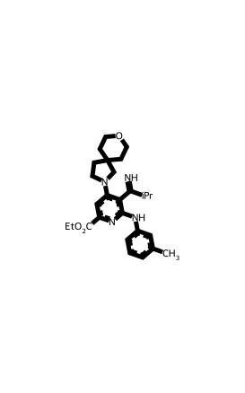 CCOC(=O)c1cc(N2CCC3(CCOCC3)C2)c(C(=N)C(C)C)c(Nc2cccc(C)c2)n1